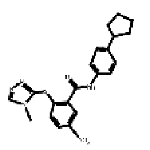 Cn1cnnc1Sc1ccc([N+](=O)[O-])cc1C(=O)Nc1ccc(C2CCCC2)cc1